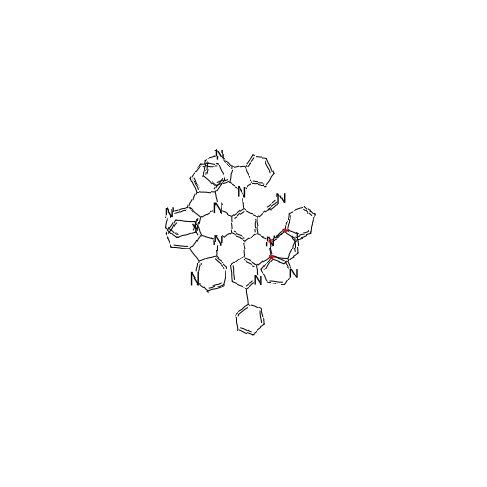 N#Cc1c(-n2c3ccccc3c3ncccc32)c(-c2ccc(-c3ccccc3)nc2-c2ccccc2)c(-n2c3ccccc3c3ncccc32)c(-n2c3ccccc3c3ncccc32)c1-n1c2ccccc2c2ncccc21